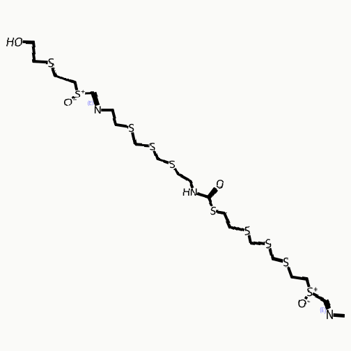 C/N=C/[S+]([O-])CCSCSCSCCSC(=O)NCCSCSCSCC/N=C/[S+]([O-])CCSCCO